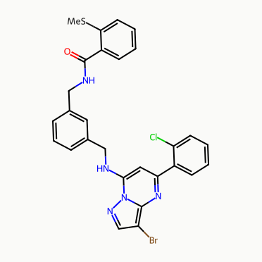 CSc1ccccc1C(=O)NCc1cccc(CNc2cc(-c3ccccc3Cl)nc3c(Br)cnn23)c1